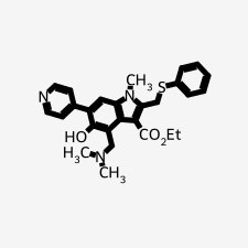 CCOC(=O)c1c(CSc2ccccc2)n(C)c2cc(-c3ccncc3)c(O)c(CN(C)C)c12